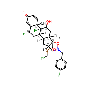 C[C@]12C=CC(=O)C=C1[C@@H](F)C[C@H]1[C@@H]3C[C@H]4CN(Cc5ccc(F)cc5)O[C@@]4(C(=O)SCF)[C@@]3(C)C[C@H](O)[C@@]12F